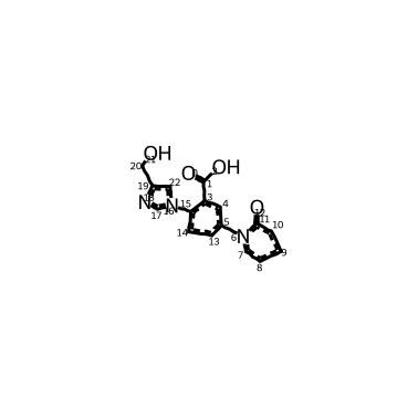 O=C(O)c1cc(-n2ccccc2=O)ccc1-n1cnc(CO)c1